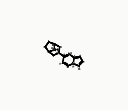 c1cc2nc(N3CC4CCC(C3)N4)ncn2n1